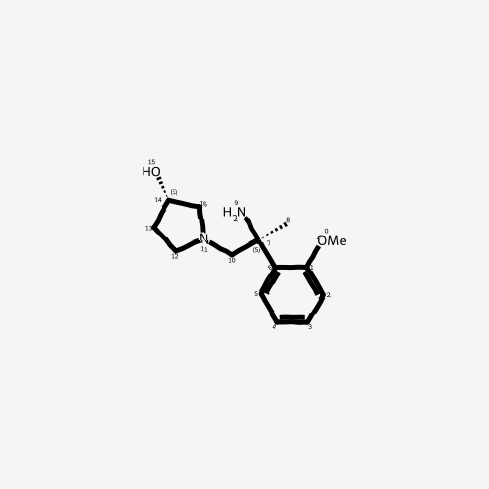 COc1ccccc1[C@](C)(N)CN1CC[C@H](O)C1